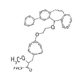 COC(Cc1ccc(OCCOC2c3ccccc3C=Cc3ccc(-c4ccccc4)cc32)cc1)C(=O)O